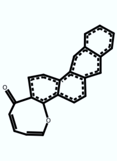 O=C1C=CC=COc2c1ccc1c2ccc2cc3ccccc3cc21